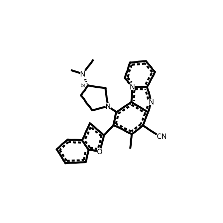 Cc1c(-c2cc3ccccc3o2)c(N2CC[C@H](N(C)C)C2)c2c(nc3ccccn32)c1C#N